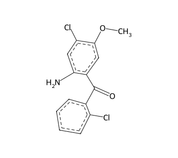 COc1cc(C(=O)c2ccccc2Cl)c(N)cc1Cl